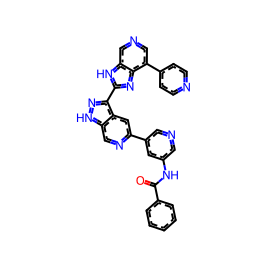 O=C(Nc1cncc(-c2cc3c(-c4nc5c(-c6ccncc6)cncc5[nH]4)n[nH]c3cn2)c1)c1ccccc1